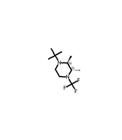 C[C@H]1[C@H](C)N(C(F)(F)F)CCN1C(C)(C)C